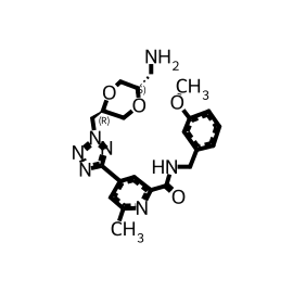 COc1cccc(CNC(=O)c2cc(-c3nnn(C[C@@H]4CO[C@@H](CN)CO4)n3)cc(C)n2)c1